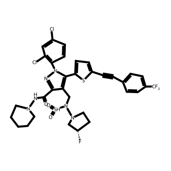 O=C(NN1CCCCC1)c1nn(-c2ccc(Cl)cc2Cl)c(-c2ccc(C#Cc3ccc(C(F)(F)F)cc3)s2)c1CN(N1CC[C@H](F)C1)[SH](=O)=O